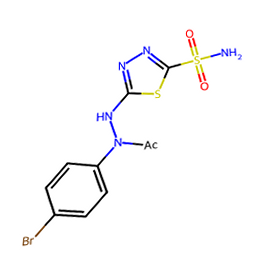 CC(=O)N(Nc1nnc(S(N)(=O)=O)s1)c1ccc(Br)cc1